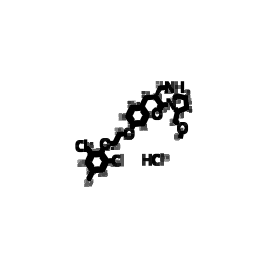 COCC1CCCN1C(=O)[C@H](CN)Cc1ccc(OCCOc2c(Cl)cc(C)cc2Cl)cc1.Cl